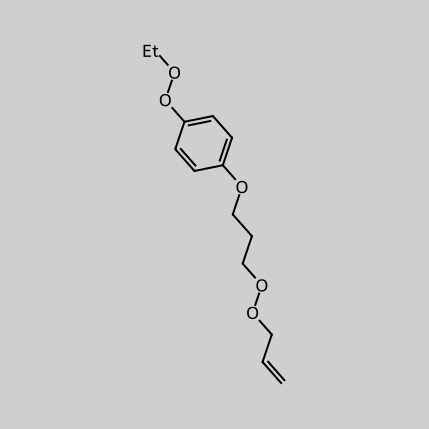 C=CCOOCCCOc1ccc(OOCC)cc1